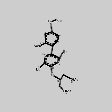 CCc1nc(-c2ccc(OC(F)(F)F)cc2OC)c(CC)nc1OC(COC)COC